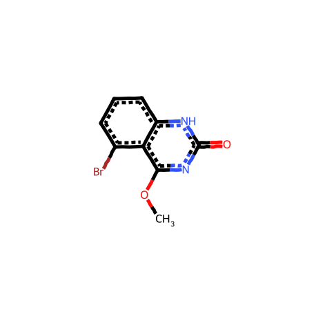 COc1nc(=O)[nH]c2cccc(Br)c12